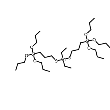 CCCO[Si](CCC[S][Sn]([CH2]C)([CH2]C)[S]CCC[Si](OCCC)(OCCC)OCCC)(OCCC)OCCC